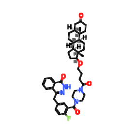 C[C@]12CCC(=O)C[C@@H]1CC[C@@H]1[C@@H]2CC[C@]2(C)[C@@H](OCCCC(=O)N3CCN(C(=O)c4cc(Cc5n[nH]c(=O)c6ccccc56)ccc4F)CC3)CC[C@@H]12